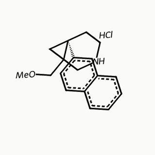 COCC12CNCC[C@]1(c1ccc3ccccc3c1)C2.Cl